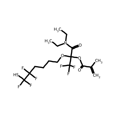 C=C(C)C(=O)OC(OCCCCC(F)(F)C(F)(F)S)(C(=O)N(CC)CC)C(F)(F)F